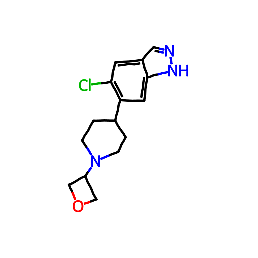 Clc1cc2cn[nH]c2cc1C1CCN(C2COC2)CC1